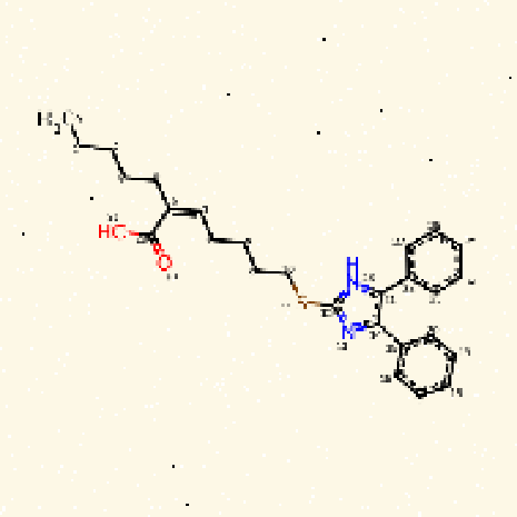 CCCCCC(=CCCCCSc1nc(-c2ccccc2)c(-c2ccccc2)[nH]1)C(=O)O